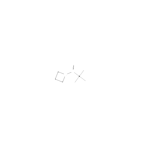 CC(C)(C)[S+]([O-])N1CCC1